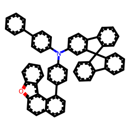 c1ccc(-c2ccc(N(c3ccc(-c4cccc5ccc6oc7ccccc7c6c45)cc3)c3ccc4c(c3)C3(c5ccccc5-c5ccccc53)c3ccccc3-4)cc2)cc1